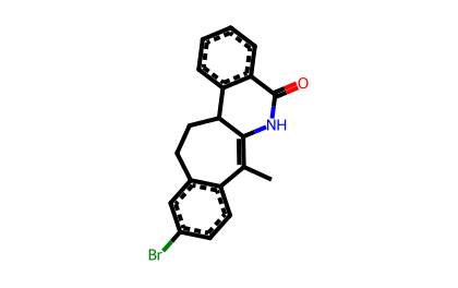 CC1=C2NC(=O)c3ccccc3C2CCc2cc(Br)ccc21